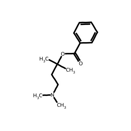 CN(C)CCC(C)(C)OC(=O)c1ccccc1